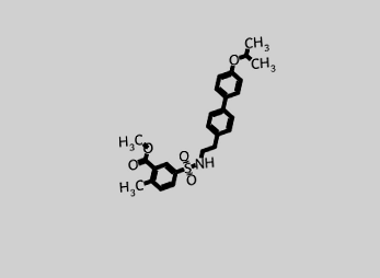 COC(=O)c1cc(S(=O)(=O)NCCc2ccc(-c3ccc(OC(C)C)cc3)cc2)ccc1C